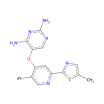 Cc1cnc(-c2cc(Oc3cnc(N)nc3N)c(C(C)C)cn2)s1